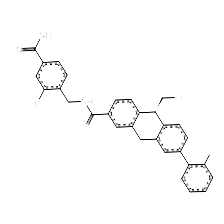 CC[C@@H]1c2ccc(C(=O)NCc3ccc(C(=N)N)cc3F)cc2Cc2cc(-c3ccccc3F)ccc21